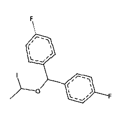 CC(I)OC(c1ccc(F)cc1)c1ccc(F)cc1